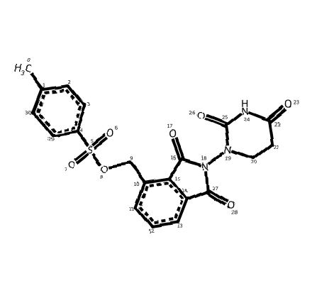 Cc1ccc(S(=O)(=O)OCc2cccc3c2C(=O)N(N2CCC(=O)NC2=O)C3=O)cc1